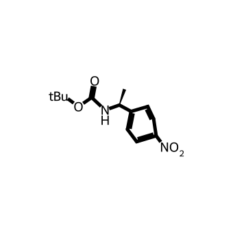 C[C@H](NC(=O)OC(C)(C)C)c1ccc([N+](=O)[O-])cc1